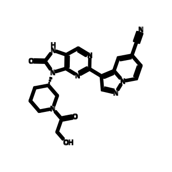 N#Cc1ccn2ncc(-c3ncc4[nH]c(=O)n([C@H]5CCCN(C(=O)CO)C5)c4n3)c2c1